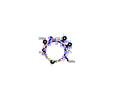 CNCCCC[C@@H]1NC(=O)CCSCc2cc(F)cc(c2)CSCCNC(=O)[C@]2(C)CCCN2C(=O)[C@H](Cc2ccc(OC)cc2)NC(=O)[C@H](Cc2ncc[nH]2)NC(=O)[C@H](CC(=O)O)NC(=O)[C@H](Cc2c[nH]c3ccc(F)cc23)NC(=O)[C@H](Cc2c[nH]c3ccc(F)cc23)NC(=O)[C@@H](C)NC1=O